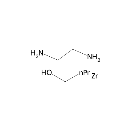 CCCCO.NCCN.[Zr]